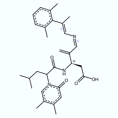 C=C(/C=N\C=C(/C)c1c(C)cccc1C)[C@@H](CC(=O)O)NC(=O)C(CC(C)C)n1cc(C)c(C)cc1=O